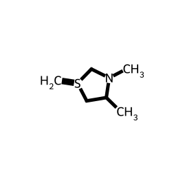 C=S1CC(C)N(C)C1